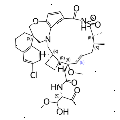 COC(O)[C@H](NC(=O)C[C@]1(OC)/C=C/C[C@H](C)[C@@H](C)S(=O)(=O)NC(=O)c2ccc3c(c2)N(C[C@@H]2CC[C@H]21)C[C@@]1(CCCc2cc(Cl)ccc21)CO3)C(C)=O